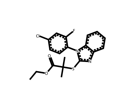 CCOC(=O)C(C)(C)Sc1nc2ccccc2n1-c1ccc(Cl)cc1F